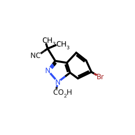 CC(C)(C#N)c1nn(C(=O)O)c2cc(Br)ccc12